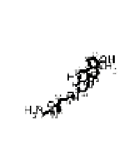 CC12CC[C@H]3C(CCC4CC(=NOCCc5cnc(CN)o5)CCC43C)C1CCC2O